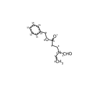 C=CN(C=O)CCC(=O)OCc1ccccc1